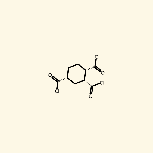 O=C(Cl)[C@@H]1CC[C@H](C(=O)Cl)[C@H](C(=O)Cl)C1